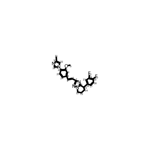 COc1cc(/C=C/c2nc3n(n2)CCCC3c2ccc(F)c(F)c2)ccc1-n1cnc(C)c1